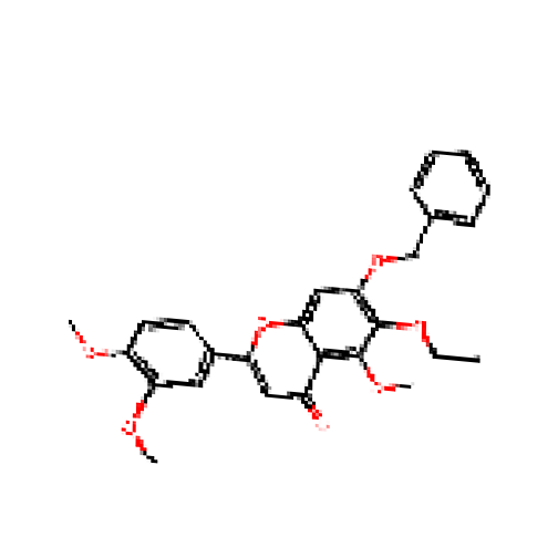 CCOc1c(OCc2ccccc2)cc2oc(-c3ccc(OC)c(OC)c3)cc(=O)c2c1OC